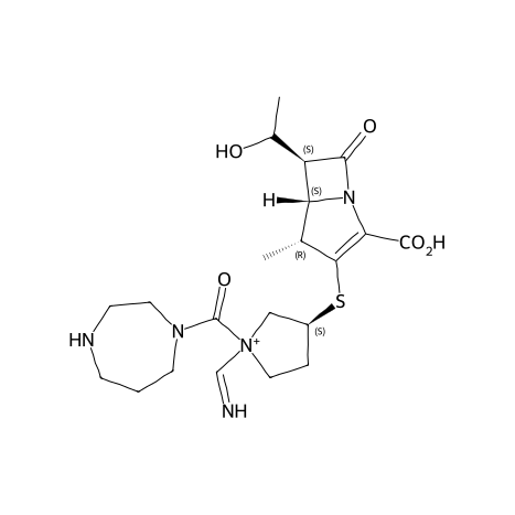 CC(O)[C@H]1C(=O)N2C(C(=O)O)=C(S[C@H]3CC[N+](C=N)(C(=O)N4CCCNCC4)C3)[C@H](C)[C@H]12